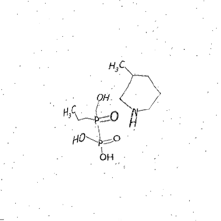 CC1CCCNC1.CCP(=O)(O)P(=O)(O)O